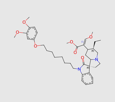 CC[C@H]1CN2CC[C@]3(C(=O)N(CCCCCCCCOc4ccc(OC)c(OC)c4)c4ccccc43)C2CC1/C(=C\OC)C(=O)OC